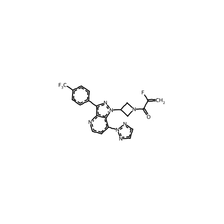 C=C(F)C(=O)N1CC(n2nc(-c3ccc(C(F)(F)F)cc3)c3nccc(-n4nccn4)c32)C1